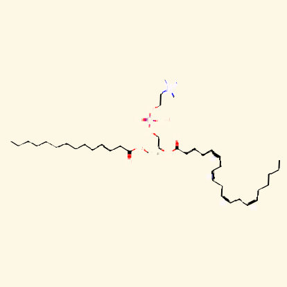 CCCCC/C=C\C/C=C\C/C=C\C/C=C\CCCC(=O)O[C@H](COC(=O)CCCCCCCCCCCCC)COP(=O)(O)OCC[N+](C)(C)C